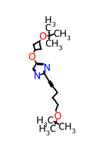 CC(C)(C)OCCCCC#Cc1ncc(OC2CC(OC(C)(C)C)C2)cn1